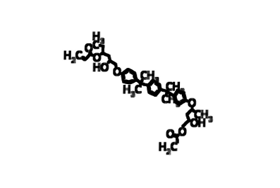 C=CC(=O)OCC(O)CC(C)Oc1ccc(C(C)(C)c2ccc(C(C)(C)c3ccc(OCC(O)CC(CC)OC(=O)C=C)cc3)cc2)cc1